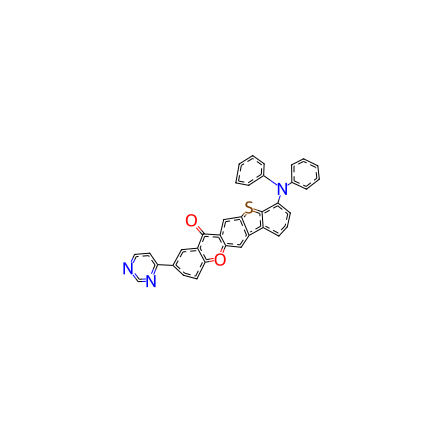 O=c1c2cc(-c3ccncn3)ccc2oc2cc3c(cc12)sc1c(N(c2ccccc2)c2ccccc2)cccc13